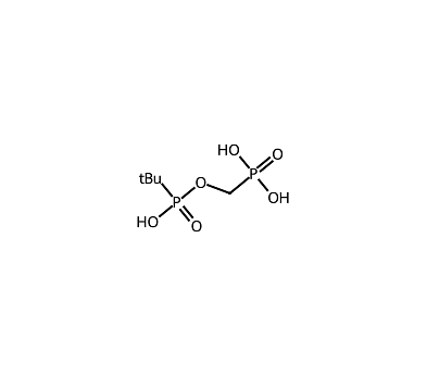 CC(C)(C)P(=O)(O)OCP(=O)(O)O